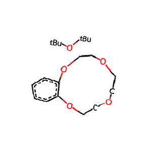 CC(C)(C)OC(C)(C)C.c1ccc2c(c1)OCCOCCOCCO2